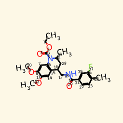 CCOC(=O)N1c2cc(OC)c(OC)cc2C(CNC(=O)c2ccc(C)c(F)c2)CC1C